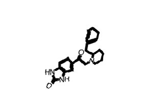 O=C(CN1CCCCC1Cc1ccccc1)c1ccc2[nH]c(=O)[nH]c2c1